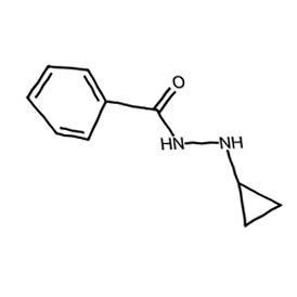 O=C(NNC1CC1)c1ccccc1